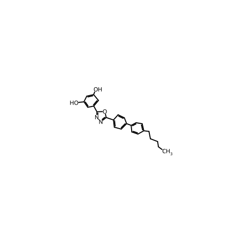 CCCCCc1ccc(-c2ccc(-c3nnc(-c4cc(O)cc(O)c4)o3)cc2)cc1